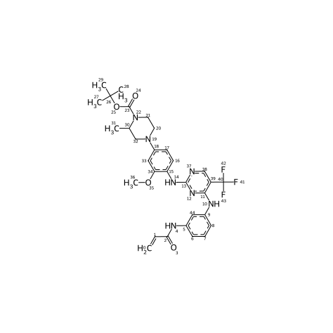 C=CC(=O)Nc1cccc(Nc2nc(Nc3ccc(N4CCN(C(=O)OC(C)(C)C)C(C)C4)cc3OC)ncc2C(F)(F)F)c1